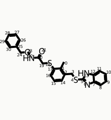 Cc1c(CSc2nc3ccccc3[nH]2)cccc1SCC(=O)NOCc1ccccc1